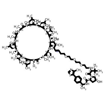 CC[C@@H]1NC(=O)[C@H]([C@H](O)[C@H](C)C/C=C/CCOCCOCCOCCN[C@H](C(=O)N2C[C@H](O)C[C@H]2C(=O)N[C@@H](C)c2ccc(-c3scnc3C)cc2)C(C)(C)C)N(C)C(=O)[C@H](C(C)C)N(C)C(=O)[C@H](CC(C)C)N(C)C(=O)[C@H](CC(C)C)N(C)C(=O)[C@@H](C)NC(=O)[C@H](C)NC(=O)[C@H](CC(C)C)N(C)C(=O)[C@H](C(C)C)NC(=O)[C@H](CC(C)C)N(C)C(=O)CN(C)C1=O